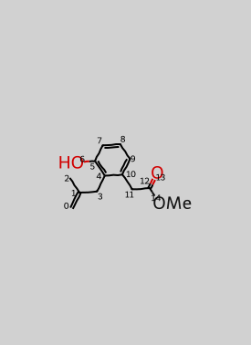 C=C(C)Cc1c(O)cccc1CC(=O)OC